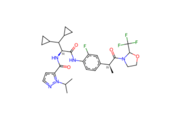 CC(C)n1nccc1C(=O)N[C@H](C(=O)Nc1ccc([C@H](C)C(=O)N2CCOC2C(F)(F)F)cc1F)C(C1CC1)C1CC1